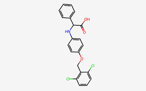 O=C(O)C(Nc1ccc(OCc2c(Cl)cccc2Cl)cc1)c1ccccc1